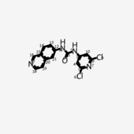 O=C(Nc1cc(Cl)nc(Cl)c1)Nc1ccc2cnccc2c1